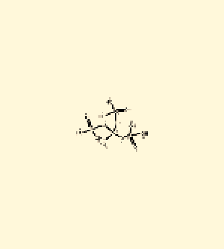 C[Si](OP(=O)(O)O)(OP(=O)(O)O)OP(=O)(O)O